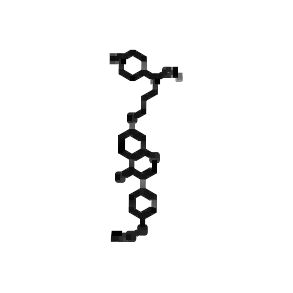 COOc1ccc(-c2coc3cc(OCCCN(C)C4CCNCC4)ccc3c2=O)cc1